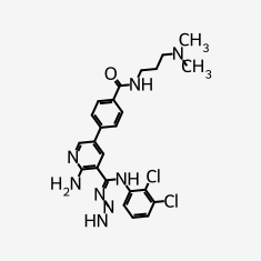 CN(C)CCCNC(=O)c1ccc(-c2cnc(N)c(/C(=N/N=N)Nc3cccc(Cl)c3Cl)c2)cc1